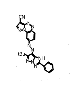 CC(C)(C)c1nn2nc(-c3ccccc3)[nH]c2c1/N=N/c1ccc2nnc3c(C#N)cnn3c2c1